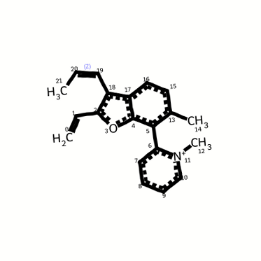 C=Cc1oc2c(-c3cccc[n+]3C)c(C)ccc2c1/C=C\C